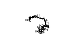 CC(=O)NC1C(O)[C@H](O[C@@H]2OC(CO)[C@H](O)C(O[C@H]3OC(CO)[C@H](O)C(O)C3O)C2O)C(CO)O[C@H]1OCCCNC(C)(C)C(=O)CCCCCNCC(=O)COc1ccc(-c2cccc(C(=O)O)c2)cc1